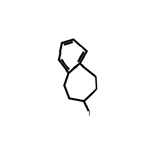 IC1CCc2ccccc2CC1